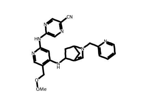 COOCc1cnc(Nc2cnc(C#N)cn2)cc1NC1CC2CC1=CN2Cc1ccccn1